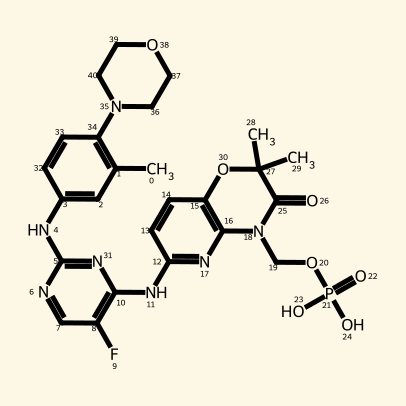 Cc1cc(Nc2ncc(F)c(Nc3ccc4c(n3)N(COP(=O)(O)O)C(=O)C(C)(C)O4)n2)ccc1N1CCOCC1